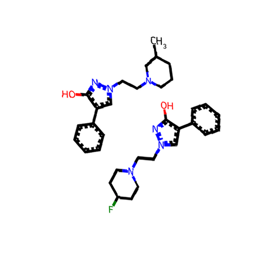 CC1CCCN(CCn2cc(-c3ccccc3)c(O)n2)C1.Oc1nn(CCN2CCC(F)CC2)cc1-c1ccccc1